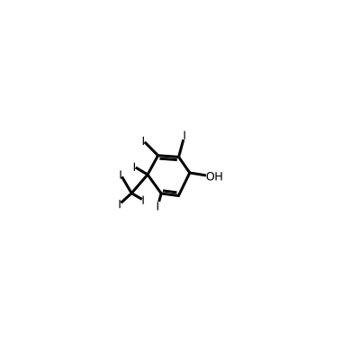 OC1C=C(I)C(I)(C(I)(I)I)C(I)=C1I